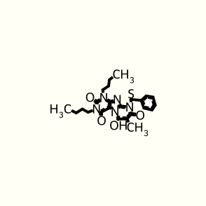 CCCCn1c(=O)c2c(nc3n(C(=S)c4ccccc4)c(=O)c(C)c(O)n23)n(CCCC)c1=O